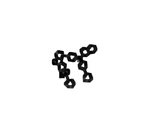 c1ccc(-c2ccc(N(c3ccc(-c4cccc5oc6cc7nc(-c8ccccc8)oc7cc6c45)cc3)c3ccc4ccccc4c3)cc2)cc1